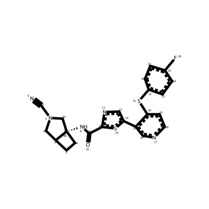 N#CN1CC2CC[C@]2(NC(=O)c2ncc(-c3cnccc3Sc3ccc(F)cc3)s2)C1